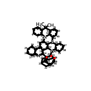 CC1(C)c2ccccc2N2c3cc4c(c(C56CC7CC(CC(C7)C5)C6)nc5ccccc54)c4c3B(c3ccccc3N4c3ccccc3)c3cccc1c32